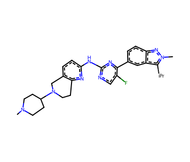 CC(C)c1c2cc(-c3nc(Nc4ccc5c(n4)CCN(C4CCN(C)CC4)C5)ncc3F)ccc2nn1C